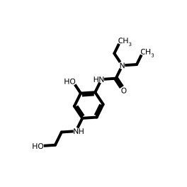 CCN(CC)C(=O)Nc1ccc(NCCO)cc1O